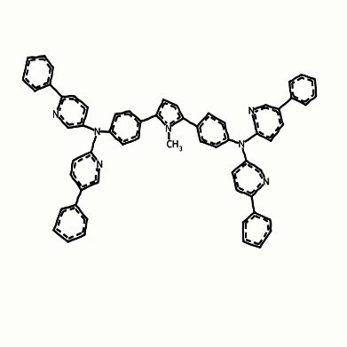 Cn1c(-c2ccc(N(c3ccc(-c4ccccc4)nc3)c3ccc(-c4ccccc4)cn3)cc2)ccc1-c1ccc(N(c2ccc(-c3ccccc3)nc2)c2ccc(-c3ccccc3)cn2)cc1